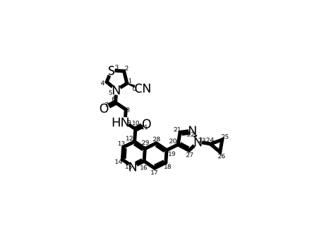 N#C[C@@H]1CSCN1C(=O)CNC(=O)c1ccnc2ccc(-c3cnn(C4CC4)c3)cc12